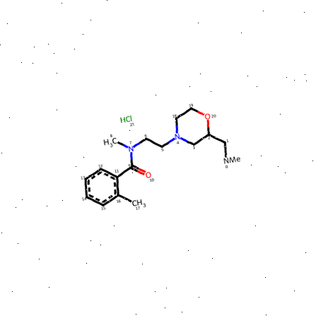 CNCC1CN(CCN(C)C(=O)c2ccccc2C)CCO1.Cl